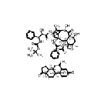 C=C1C[C@@H]2[C@H](CC[C@]3(C)C(=O)CC[C@@H]23)[C@@]2(C)C=CC(=O)C=C12.CC(=O)O[C@@]12CO[C@@H]1C[C@H](O)[C@@]1(C)C(=O)[C@H](O)C3=C(C)[C@@H](OC(=O)C(O)[C@@H](NC(=O)OC(C)(C)C)c4ccccc4)C[C@@](O)([C@@H](OC(=O)c4ccccc4)[C@H]21)C3(C)C